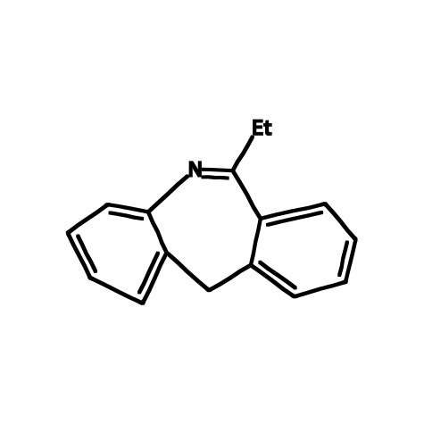 CCC1=Nc2ccccc2Cc2ccccc21